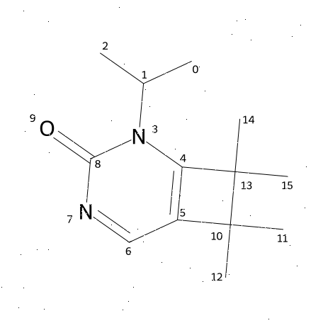 CC(C)n1c2c(cnc1=O)C(C)(C)C2(C)C